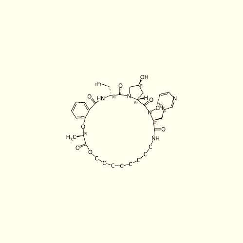 CC(C)C[C@H]1NC(=O)c2ccccc2O[C@H](C)C(=O)OCCCCCCCCNC(=O)[C@H](Cc2cccnc2)N(C)C(=O)[C@H]2C[C@H](O)CN2C1=O